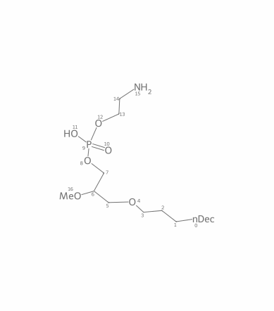 CCCCCCCCCCCCCOCC(COP(=O)(O)OCCN)OC